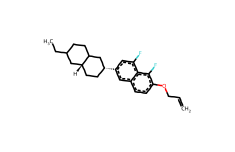 C=CCOc1ccc2cc([C@@H]3CC[C@@H]4CC(CC)CCC4C3)cc(F)c2c1F